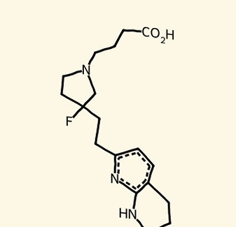 O=C(O)CCCN1CCC(F)(CCc2ccc3c(n2)NCCC3)C1